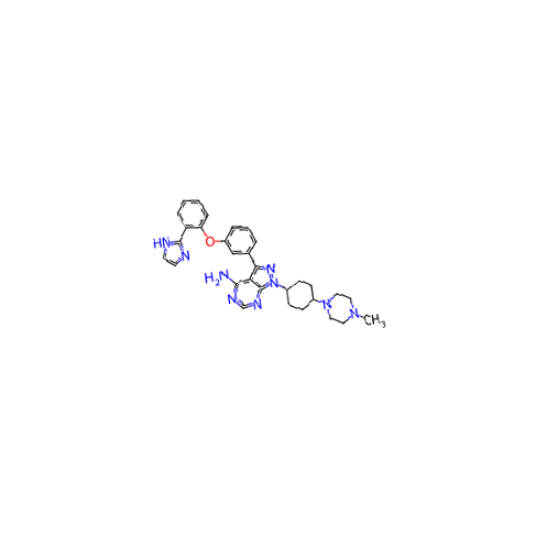 CN1CCN(C2CCC(n3nc(-c4cccc(Oc5ccccc5-c5ncc[nH]5)c4)c4c(N)ncnc43)CC2)CC1